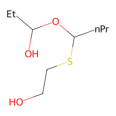 CCCC(OC(O)CC)SCCO